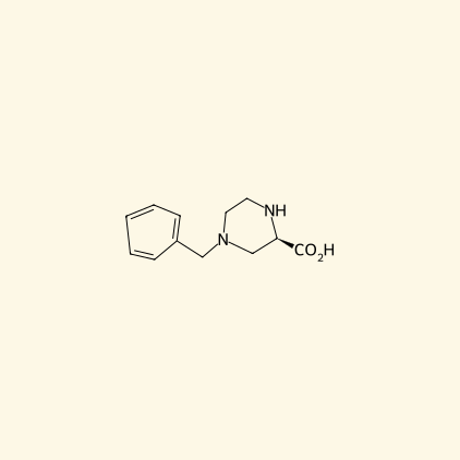 O=C(O)[C@H]1CN(Cc2ccccc2)CCN1